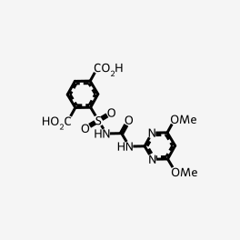 COc1cc(OC)nc(NC(=O)NS(=O)(=O)c2cc(C(=O)O)ccc2C(=O)O)n1